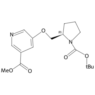 COC(=O)c1cncc(OC[C@H]2CCCN2C(=O)OC(C)(C)C)c1